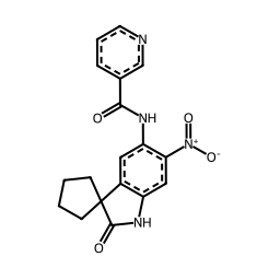 O=C(Nc1cc2c(cc1[N+](=O)[O-])NC(=O)C21CCCC1)c1cccnc1